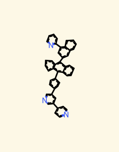 c1ccc(-c2cc(-c3c4ccccc4c(-c4ccc(-c5cncc(-c6ccncc6)c5)cc4)c4ccccc34)cc3ccccc23)nc1